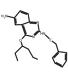 CCCC(CC)Oc1nc(NCCc2ccccc2)nc2ccc(N)cc12